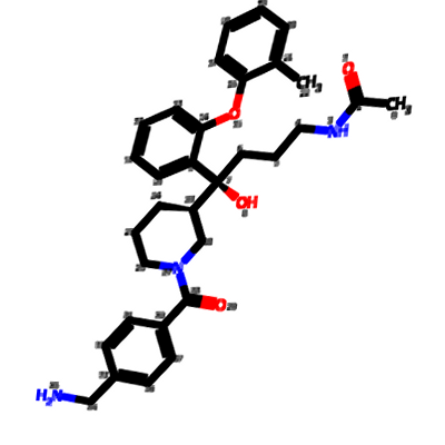 CC(=O)NCCC[C@@](O)(c1ccccc1Oc1ccccc1C)[C@@H]1CCCN(C(=O)c2ccc(CN)cc2)C1